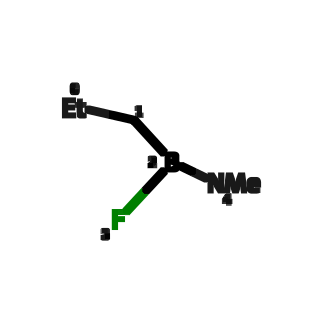 CCCB(F)NC